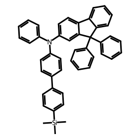 C[Si](C)(C)c1ccc(-c2ccc(N(c3ccccc3)c3ccc4c(c3)C(c3ccccc3)(c3ccccc3)c3ccccc3-4)cc2)cc1